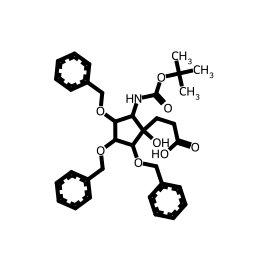 CC(C)(C)OC(=O)NC1C(OCc2ccccc2)C(OCc2ccccc2)C(OCc2ccccc2)C1(O)CCC(=O)O